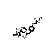 COC(=O)COc1ccc(CC(C)N2CCOC(O)(c3csc(Cl)n3)C2)cc1